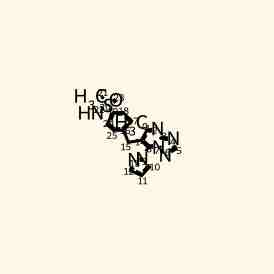 Cc1nc2ncnn2c(-n2cccn2)c1Cc1ccc(S(C)(=N)=O)cc1